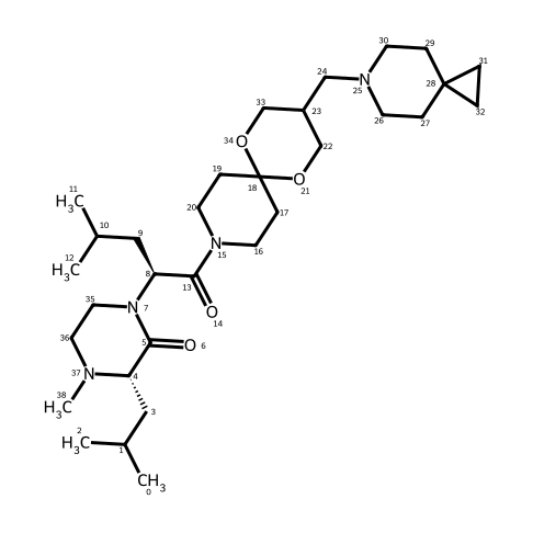 CC(C)C[C@H]1C(=O)N([C@@H](CC(C)C)C(=O)N2CCC3(CC2)OCC(CN2CCC4(CC2)CC4)CO3)CCN1C